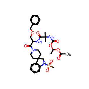 CCC(C)C(=O)OC(C)OC(=O)NC(C)(C)C(=O)NC(COCc1ccccc1)C(=O)N1CCC2(CC1)CN(S(C)(=O)=O)c1ccccc12